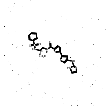 O=C(NC[C@H](NS(=O)(=O)c1ccccc1)C(=O)O)c1ccc(-c2cc(Nc3ncc[nH]3)cs2)s1